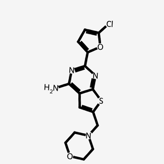 Nc1nc(-c2ccc(Cl)o2)nc2sc(CN3CCOCC3)cc12